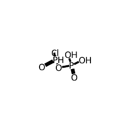 O=[PH](Cl)OP(=O)(O)O